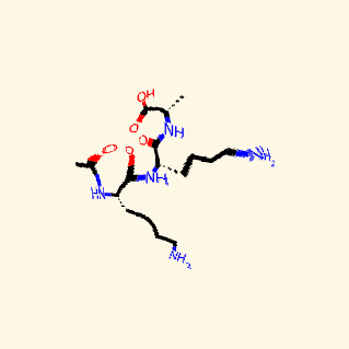 CC(=O)N[C@@H](CCCCN)C(=O)N[C@@H](CCCCN)C(=O)N[C@@H](C)C(=O)O